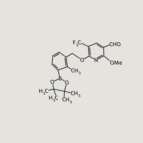 COc1nc(OCc2cccc(B3OC(C)(C)C(C)(C)O3)c2C)c(C(F)(F)F)cc1C=O